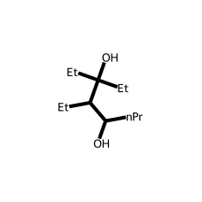 CCCC(O)C(CC)C(O)(CC)CC